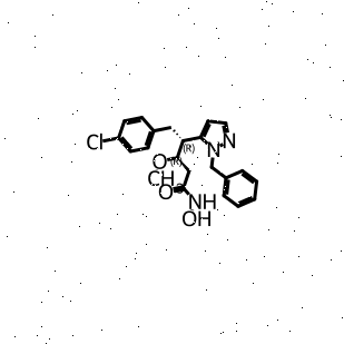 CO[C@H](CC(=O)NO)[C@H](Cc1ccc(Cl)cc1)c1ccnn1Cc1ccccc1